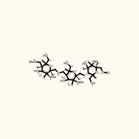 CCOC[C@]1(C)OC(C)(CO)[C@H](CC[C@@]2(C)OC(C)(CO)[C@](C)(COC[C@@]3(C)OC(C)(CO)[C@@](C)(COC)[C@](C)(O)C3(C)NC)[C@](C)(O)C2(C)NC)[C@](C)(O)C1(C)N